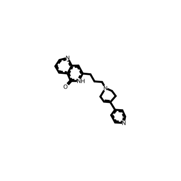 O=c1[nH]c(CCCN2CC=C(c3ccncc3)CC2)cc2ncccc12